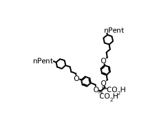 CCCCCC1CCC(CCCOc2ccc(CO[C@@H](C(=O)O)[C@@H](OCc3ccc(OCCCC4CCC(CCCCC)CC4)cc3)C(=O)O)cc2)CC1